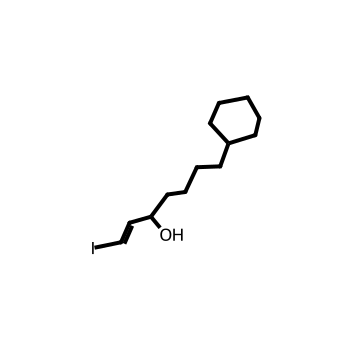 OC(C=CI)CCCCC1CCCCC1